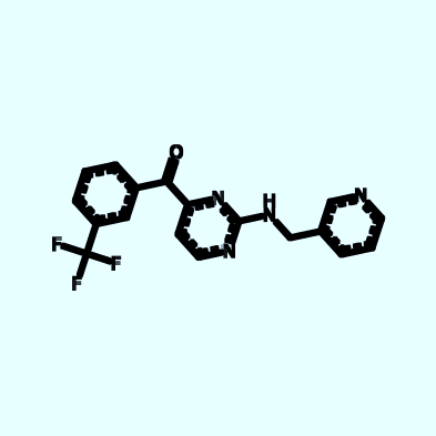 O=C(c1cccc(C(F)(F)F)c1)c1ccnc(NCc2cccnc2)n1